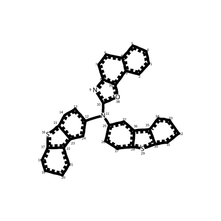 c1ccc2c(c1)ccc1nc(N(c3ccc4sc5ccccc5c4c3)c3ccc4sc5ccccc5c4c3)oc12